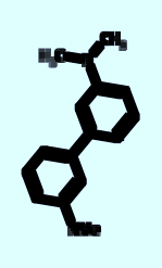 CNc1cccc(-c2[c]ccc(N(C)C)c2)c1